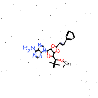 C[SiH](C)OC(C1OC(n2cnc3c(N)ncnc32)C2OC(/C=C/c3ccccc3)OC21)C(C)(C)C